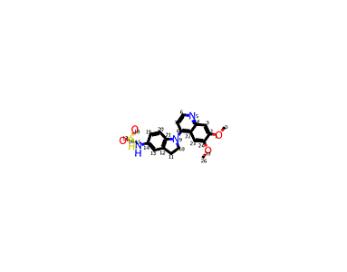 COc1cc2nccc(N3CCc4cc(N[SH](=O)=O)ccc43)c2cc1OC